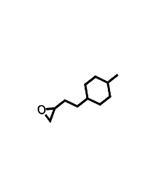 CC1CCC(CCC2CO2)CC1